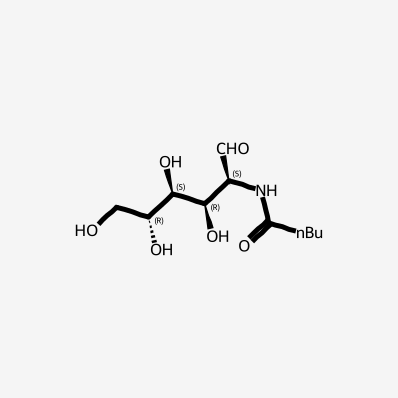 CCCCC(=O)N[C@H](C=O)[C@@H](O)[C@H](O)[C@H](O)CO